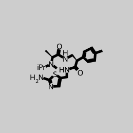 Cc1ccc([C@H](CNC(=O)[C@H](C)N(C)C(C)C)C(=O)NCc2cnc(N)s2)cc1